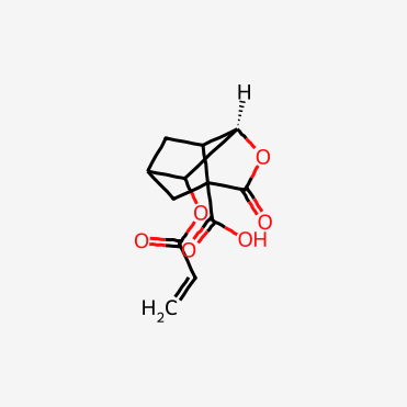 C=CC(=O)OC1C2CC3[C@H]1OC(=O)C3(C(=O)O)C2